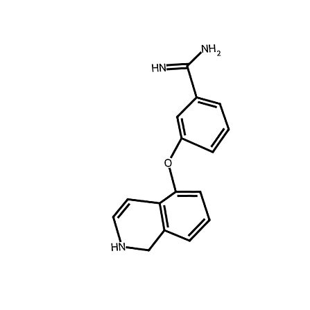 N=C(N)c1cccc(Oc2cccc3c2C=CNC3)c1